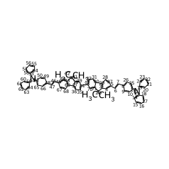 CC1(C)c2cc(/C=C/c3ccc(N(c4ccccc4)c4ccccc4)cc3)ccc2-c2ccc(-c3ccc4c(c3)C(C)(C)c3cc(/C=C/c5ccc(N(c6ccccc6)c6ccccc6)cc5)ccc3-4)cc21